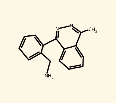 Cc1nnc(-c2ccccc2CN)c2ccccc12